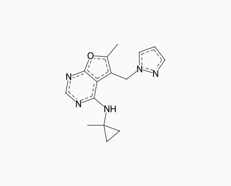 Cc1oc2ncnc(NC3(C)CC3)c2c1Cn1cccn1